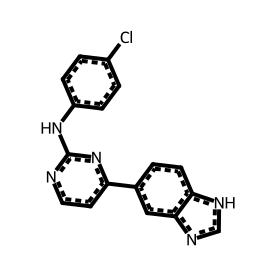 Clc1ccc(Nc2nccc(-c3ccc4[nH]cnc4c3)n2)cc1